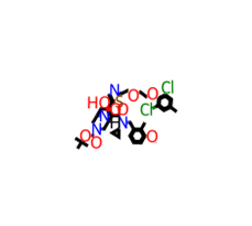 COc1cccc(CN(C(=O)C2=C(c3cnc(COCCOc4c(Cl)cc(C)cc4Cl)s3)CC3CN(C(=O)OC(C)(C)C)C[C@H]2N3C(=O)O)C2CC2)c1C